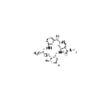 CC(C)CNc1cccc(Nc2cc(NCc3cc(F)cc(F)c3)c(C(N)=O)cn2)c1